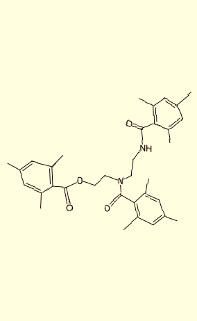 Cc1cc(C)c(C(=O)NCCN(CCOC(=O)c2c(C)cc(C)cc2C)C(=O)c2c(C)cc(C)cc2C)c(C)c1